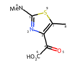 CNc1nc(C(=O)C(=O)O)c(C)s1